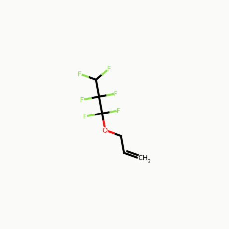 C=CCOC(F)(F)C(F)(F)C(F)F